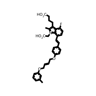 Cc1cccc(OCC=CCOc2ccc(C=Cc3ccc(F)c4c(CCCC(=O)O)c(C)n(CC(=O)O)c34)cc2)c1